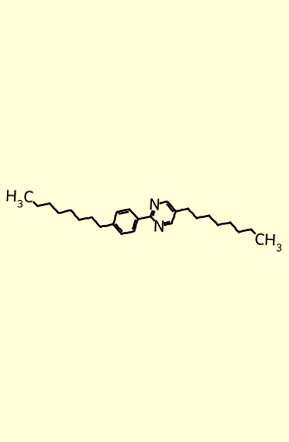 CCCCCCCCc1ccc(-c2ncc(CCCCCCCC)cn2)cc1